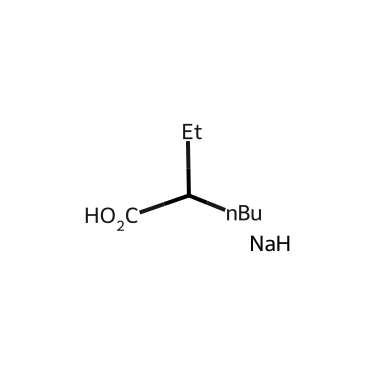 CCCCC(CC)C(=O)O.[NaH]